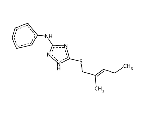 CCC=C(C)CSc1nc(Nc2ccccc2)n[nH]1